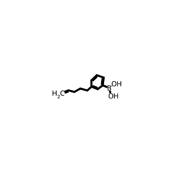 C=CCCCc1cccc(B(O)O)c1